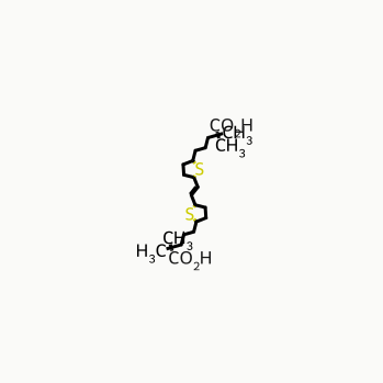 CC(C)(CCCC1CCC(C=CC2CCC(CCCC(C)(C)C(=O)O)S2)S1)C(=O)O